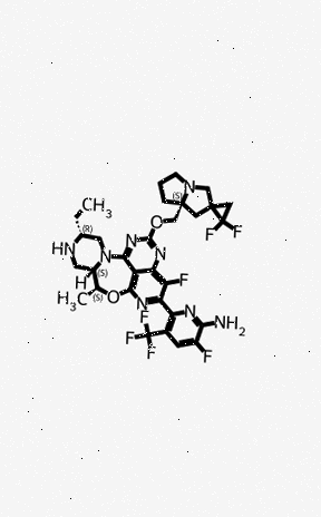 CC[C@@H]1CN2c3nc(OC[C@@]45CCCN4CC4(CC4(F)F)C5)nc4c(F)c(-c5nc(N)c(F)cc5C(F)(F)F)nc(c34)O[C@@H](C)[C@@H]2CN1